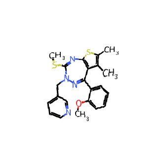 COc1ccccc1C1=NN(Cc2cccnc2)C(SC)=Nc2sc(C)c(C)c21